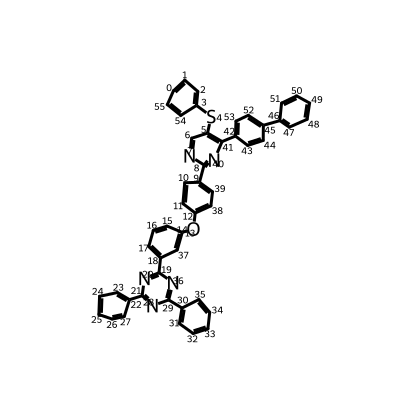 c1ccc(Sc2cnc(-c3ccc(Oc4cccc(-c5nc(-c6ccccc6)nc(-c6ccccc6)n5)c4)cc3)nc2-c2ccc(-c3ccccc3)cc2)cc1